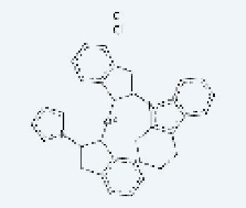 C1=C(n2cccc2)[CH]([Zr+2][CH]2C(n3c4c(c5ccccc53)CCCC4)=Cc3ccccc32)c2ccccc21.[Cl-].[Cl-]